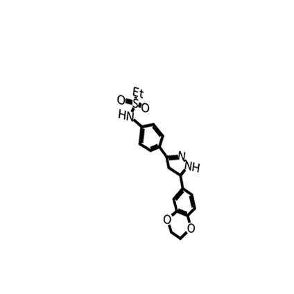 CCS(=O)(=O)Nc1ccc(C2=NNC(c3ccc4c(c3)OCCO4)C2)cc1